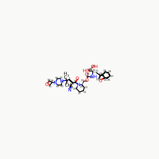 CC(C)(/C=C(\C#N)C(=O)N1CCCC[C@@H]1COC(=O)N[C@@H](Cc1coc2ccccc12)B(O)O)N1CCN(C2COC2)CC1